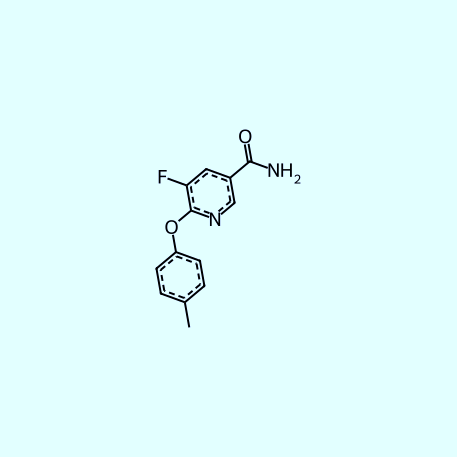 Cc1ccc(Oc2ncc(C(N)=O)cc2F)cc1